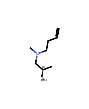 C=CCCN(C)C[C@@H](C)C(C)CC